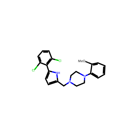 COc1ccccc1N1CCN(Cc2ccc(-c3c(Cl)cccc3Cl)[nH]2)CC1